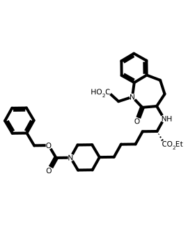 CCOC(=O)[C@H](CCCCC1CCN(C(=O)OCc2ccccc2)CC1)NC1CCc2ccccc2N(CC(=O)O)C1=O